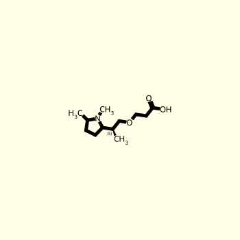 CC1CCC([C@H](C)COCCC(=O)O)N1C